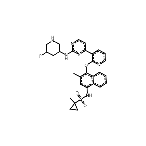 Cc1cc(NS(=O)(=O)C2(C)CC2)c2ccccc2c1Oc1ncccc1-c1ccnc(NC2CNCC(F)C2)n1